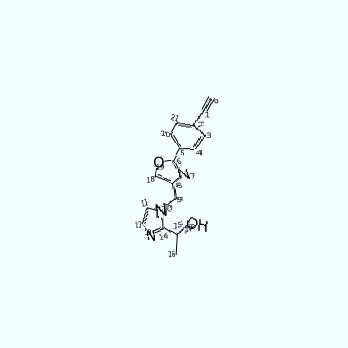 C#Cc1ccc(-c2nc(Cn3ccnc3C(C)O)co2)cc1